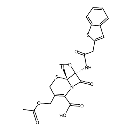 CO[C@@]1(NC(=O)Cc2cc3ccccc3s2)C(=O)N2C(C(=O)O)=C(COC(C)=O)CS[C@@H]21